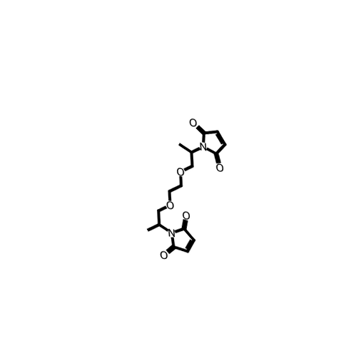 CC(COCCOCC(C)N1C(=O)C=CC1=O)N1C(=O)C=CC1=O